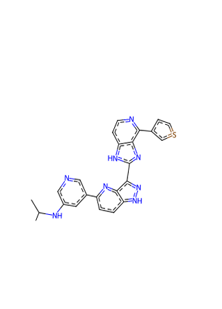 CC(C)Nc1cncc(-c2ccc3[nH]nc(-c4nc5c(-c6ccsc6)nccc5[nH]4)c3n2)c1